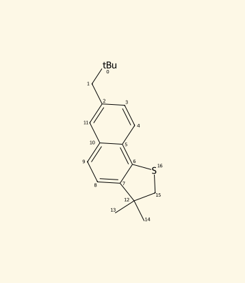 CC(C)(C)Cc1ccc2c3c(ccc2c1)C(C)(C)CS3